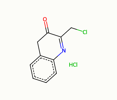 Cl.O=C1Cc2ccccc2N=C1CCl